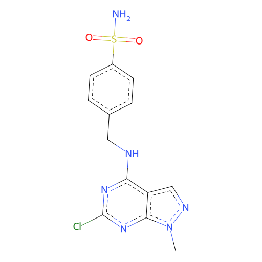 Cn1ncc2c(NCc3ccc(S(N)(=O)=O)cc3)nc(Cl)nc21